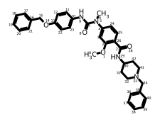 COc1cc(N(C)C(=O)Nc2ccc(OCc3ccccc3)cc2)ccc1C(=O)NC1CCN(Cc2ccccc2)CC1